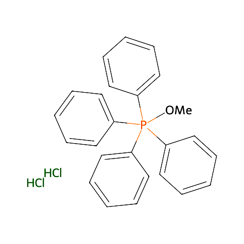 COP(c1ccccc1)(c1ccccc1)(c1ccccc1)c1ccccc1.Cl.Cl